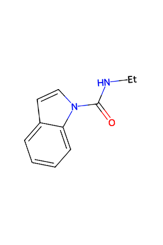 CCNC(=O)n1ccc2ccccc21